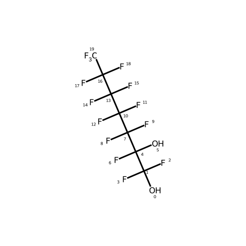 OC(F)(F)C(O)(F)C(F)(F)C(F)(F)C(F)(F)C(F)(F)C(F)(F)F